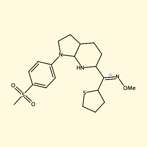 CO/N=C(/C1CCC2CCN(c3ccc(S(C)(=O)=O)cc3)C2N1)C1CCCS1